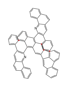 c1ccc(-c2cc3ccc4ccccc4c3nc2-c2c3ccccc3c(-c3nc4c(ccc5ccccc54)cc3-c3ccccc3)c3cc4c(cc23)-c2cccc3c2c-4cc2ccccc23)cc1